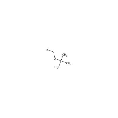 CC(C)(C)O[CH2][K]